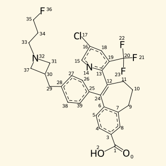 O=C(O)c1ccc2c(c1)CCCC(c1ncc(Cl)cc1C(F)(F)F)=C2c1ccc(CC2CN(CCCF)C2)cc1